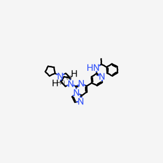 CC(Nc1cc(-c2cc3nccn3c(N3C[C@@H]4C[C@H]3CN4C3CCCC3)n2)ccn1)c1ccccc1